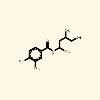 Cc1ccc(C(=O)NC(C)CC(C)CO)cc1C